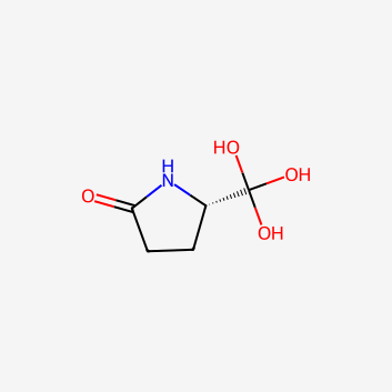 O=C1CC[C@@H](C(O)(O)O)N1